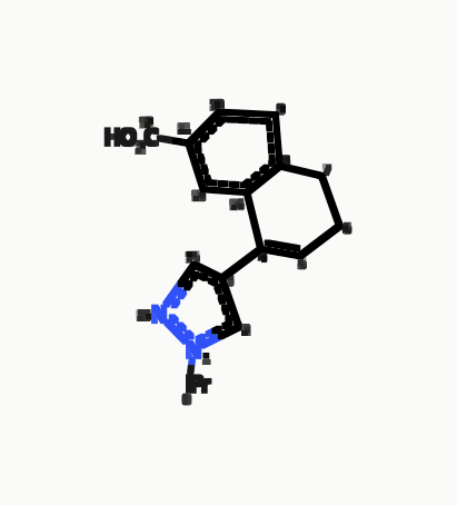 CC(C)n1cc(C2=CCCc3ccc(C(=O)O)cc32)cn1